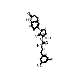 O=C1CCc2cc(N3CC[C@@](O)(OC(=O)NCCc4cc(F)cc(Cl)c4)C3=O)ccc2N1